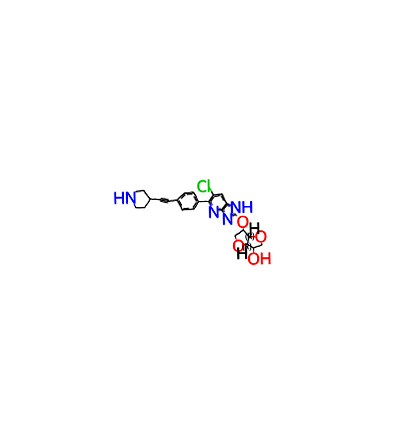 OC1CO[C@@H]2C(Oc3nc4nc(-c5ccc(C#CC6CCNCC6)cc5)c(Cl)cc4[nH]3)CO[C@H]12